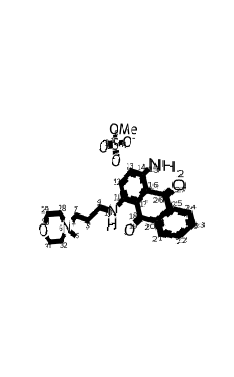 COS(=O)(=O)[O-].C[N+]1(CCCNc2ccc(N)c3c2C(=O)c2ccccc2C3=O)CCOCC1